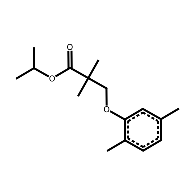 Cc1ccc(C)c(OCC(C)(C)C(=O)OC(C)C)c1